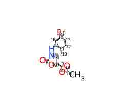 CC1OC([C@H]2OC(=O)N[C@@H]2Cc2ccc(Br)cc2)O1